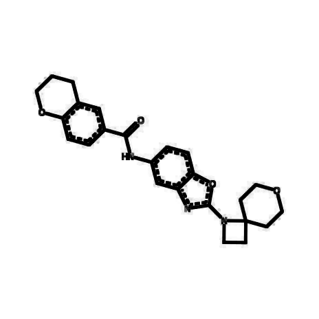 O=C(Nc1ccc2oc(N3CCC34CCOCC4)nc2c1)c1ccc2c(c1)CCCO2